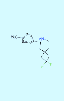 N#Cc1ccc([C@H]2CC3(CCN2)CC(F)(F)C3)cc1